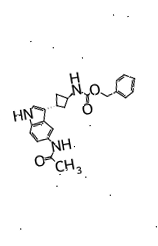 CC(=O)Nc1ccc2[nH]cc([C@H]3C[C@H](NC(=O)OCc4ccccc4)C3)c2c1